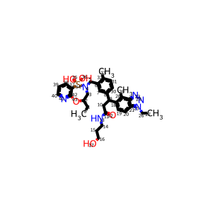 CCC1CN(Cc2cc(C(CC(=O)NCCCO)c3ccc4c(nnn4CC)c3C)ccc2C)S(O)(O)c2cccnc2O1